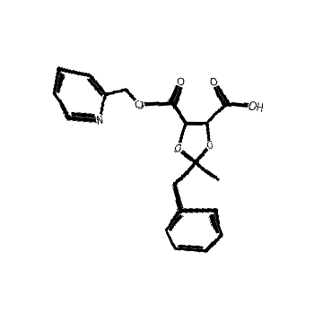 CC1(Cc2ccccc2)OC(C(=O)O)C(C(=O)OCc2ccccn2)O1